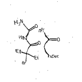 CCC(Br)(CC)C(=O)NC(N)=O.CCCCCCCCCCCC(=O)CCC